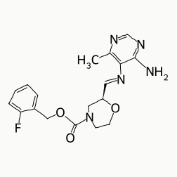 Cc1ncnc(N)c1/N=C/[C@@H]1CN(C(=O)OCc2ccccc2F)CCO1